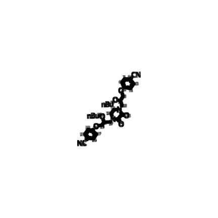 CCCCOC(COc1ccc(C#N)cc1)CN1CCN(CC(COc2ccc(C#N)cc2)OCCCC)C(=O)C1=O